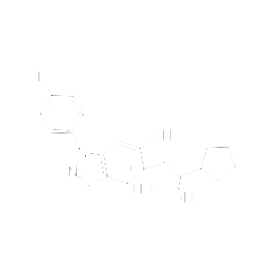 CC1=Cc2c(cnn2-c2ccc(F)cc2)C[C@]1(C)CC(O)C1CCCC1